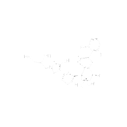 Cc1nn(CC(O)CO)cc1-c1cccc([C@@]23CC[C@@H](c4cc(-c5c(F)cccc5F)nnc42)C3(C)C)n1